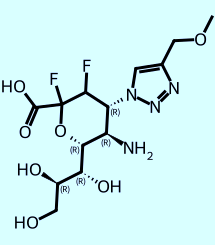 COCc1cn([C@H]2C(F)C(F)(C(=O)O)O[C@@H]([C@H](O)[C@H](O)CO)[C@@H]2N)nn1